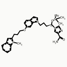 Cn1c(CCCOc2ccc3ccn(CCC[C@@H](O[Si](C)(C)C(C)(C)C)n4cnc(C(N)=O)c4)c3c2)cc2ccccc21